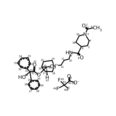 CC(=O)N1CCC(C(=O)NCCC[N+]23CCC(CC2)[C@@H](OC(=O)C(O)(c2ccccc2)c2ccccc2)C3)CC1.O=C([O-])C(F)(F)F